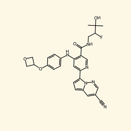 CC(C)(O)C(F)CNC(=O)c1cnc(-c2ccc3cc(C#N)cnn23)cc1Nc1ccc(OC2COC2)cc1